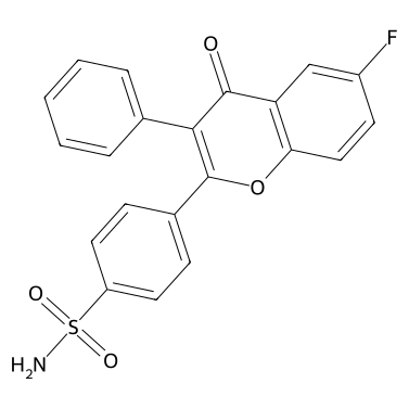 NS(=O)(=O)c1ccc(-c2oc3ccc(F)cc3c(=O)c2-c2ccccc2)cc1